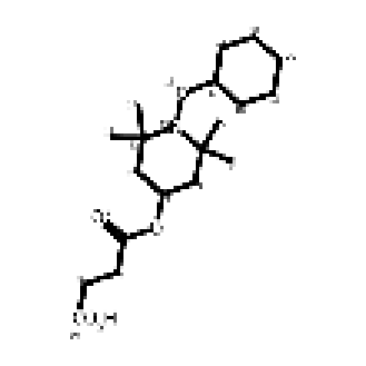 CC1(C)CC(OC(=O)CCC(=O)O)CC(C)(C)N1OC1CCCCC1